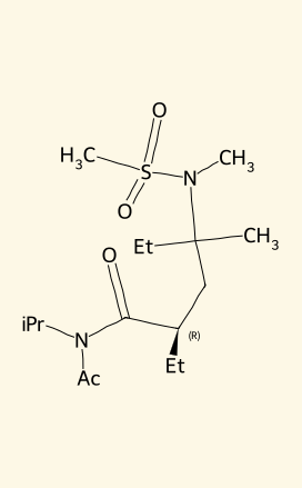 CC[C@H](CC(C)(CC)N(C)S(C)(=O)=O)C(=O)N(C(C)=O)C(C)C